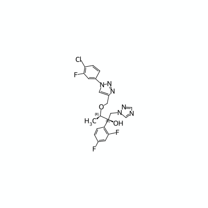 C[C@@H](OCc1cn(-c2ccc(Cl)c(F)c2)nn1)[C@](O)(Cn1cncn1)c1ccc(F)cc1F